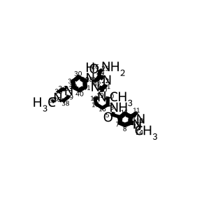 C[C@@H]1[C@H](NC(=O)c2ccc3c(cnn3C)c2)CCCN1c1cnc(C(N)=O)c(Nc2ccc(N3CCN(C)CC3)cc2)n1